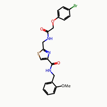 COc1ccccc1CNC(=O)c1csc(CNC(=O)COc2ccc(Br)cc2)n1